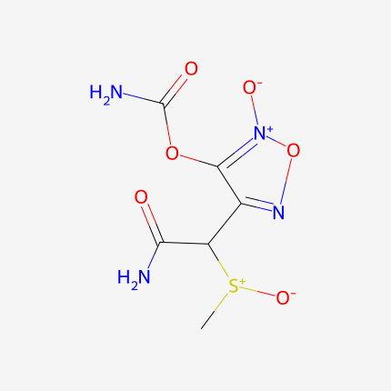 C[S+]([O-])C(C(N)=O)c1no[n+]([O-])c1OC(N)=O